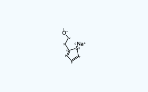 [Na+].[O-]CCc1cccs1